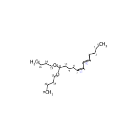 CCCC/C=C/C=C\CCCC(OCCCC)OCCCC